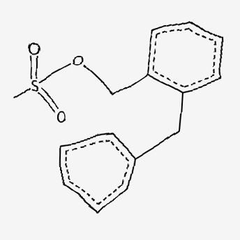 CS(=O)(=O)OCc1ccccc1Cc1ccccc1